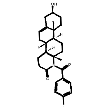 C[C@]12CC[C@H](O)CC1=CC[C@@H]1[C@@H]2CC[C@@]2(C)[C@H]1CCC(=O)N2C(=O)c1ccc(F)cc1